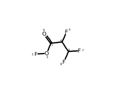 O=C(OF)C(F)C(F)F